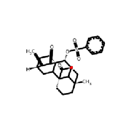 C=C1C(=O)[C@]23CC[C@H]1CC2[C@@]12CCC[C@@](C)(COC1=O)C2C[C@H]3OS(=O)(=O)c1ccccc1